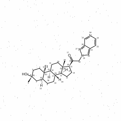 CC[C@]12CC[C@@](C)(O)C[C@@H]1CC[C@H]1[C@@H]3CC[C@H](C(=O)Cn4cc5ccncc5n4)[C@@]3(C)CC[C@@H]12